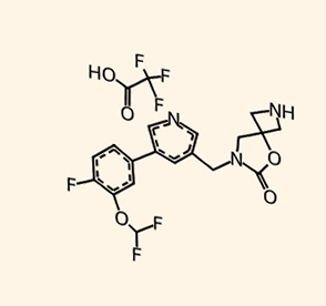 O=C(O)C(F)(F)F.O=C1OC2(CNC2)CN1Cc1cncc(-c2ccc(F)c(OC(F)F)c2)c1